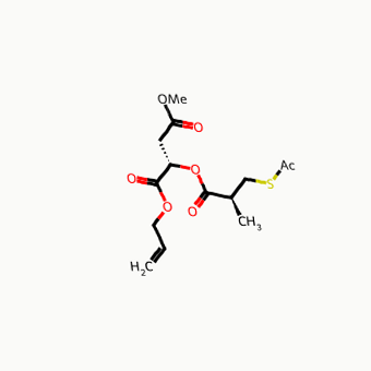 C=CCOC(=O)[C@H](CC(=O)OC)OC(=O)[C@H](C)CSC(C)=O